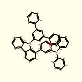 c1ccc(-c2cc(-c3ccccc3)cc(-n3c4ccccc4c4cccc(-c5ccc6c7ccccc7n(-c7ccccc7)c6c5)c43)c2)cc1